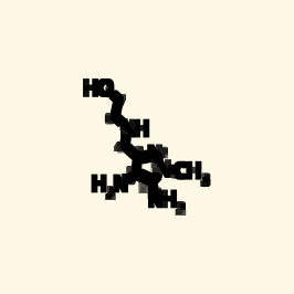 Cn1nc(CNCCO)c(N)c1N